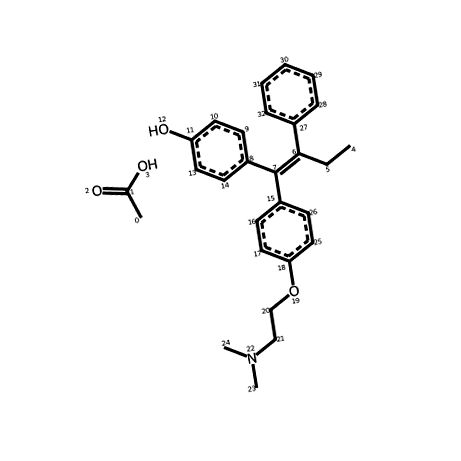 CC(=O)O.CC/C(=C(/c1ccc(O)cc1)c1ccc(OCCN(C)C)cc1)c1ccccc1